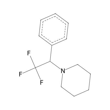 FC(F)(F)C(c1ccccc1)N1CCCCC1